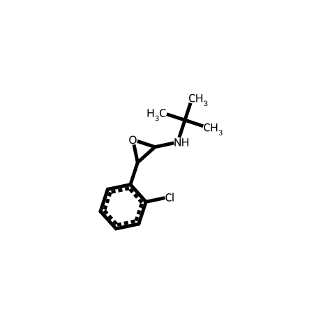 CC(C)(C)NC1OC1c1ccccc1Cl